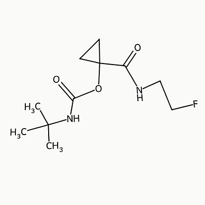 CC(C)(C)NC(=O)OC1(C(=O)NCCF)CC1